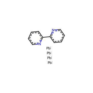 [Pb].[Pb].[Pb].[Pb].c1ccc(-c2ccccn2)nc1